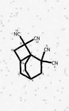 N#CC1(C#N)CC2CCC13C(C2)CC3(C#N)C#N